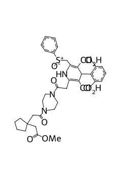 COC(=O)CC1(CC(=O)N2CCN(C(=O)CC3=C(C(=O)O)C(c4c(Cl)cccc4Cl)C(C(=O)O)=C(C[S+]([O-])c4ccccc4)N3)CC2)CCCC1